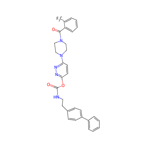 O=C(NCCc1ccc(-c2ccccc2)cc1)Oc1ccc(N2CCN(C(=O)c3ccccc3C(F)(F)F)CC2)nn1